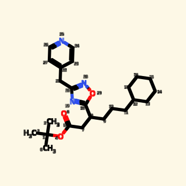 CC(C)(C)OC(=O)CC(CCCC1CCCCC1)c1nc(Cc2ccncc2)no1